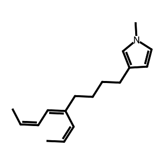 C\C=C/C=C(\C=C/C)CCCCc1ccn(C)c1